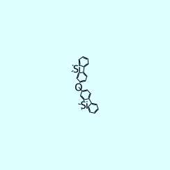 C[Si]1(C)c2ccccc2-c2ccc(Oc3ccc4c(c3)[Si](C)(C)c3ccccc3-4)cc21